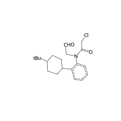 CC(C)(C)C1CCC(c2ccccc2N(CC=O)C(=O)CCl)CC1